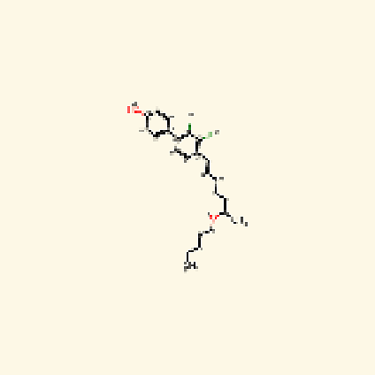 CCCCCOC(C)CCCC=Cc1ccc(-c2ccc(O)cc2)c(F)c1F